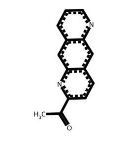 CC(=O)c1ccc2cc3ncccc3cc2n1